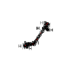 CN(CCOCCOCCOCCOCCOCCOCCNS(=O)(=O)c1ccc(Nc2ncc(Br)c(Nc3cccc(F)c3C(N)=O)n2)cc1)c1nc(N2CCNCC2)c2cc(Cl)c(-c3cc(O)cc4ccccc34)c(F)c2n1